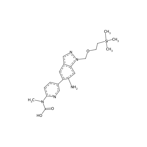 CN(C(=O)O)c1ccc(-c2cc3cnn(COCC[Si](C)(C)C)c3cc2N)cn1